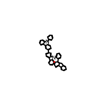 c1ccc(-n2c3ccccc3c3cc(-c4ccc5c6ccccc6n(-c6ccccc6-c6cccc7c6Cc6ccccc6-7)c5c4)ccc32)cc1